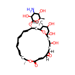 C[C@@H]1C/C=C/C=C/C=C/C=C/[C@H](OC2O[C@H](C)[C@@H](O)[C@H](N)[C@@H]2O)CC2O[C@](O)(C[C@@H](O)C[C@H]3O[C@@H]3/C=C/C(=O)O1)C[C@H](O)[C@H]2C(=O)O